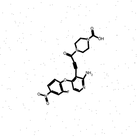 Nc1nccc(Oc2ccc([N+](=O)[O-])cc2F)c1C#CC(=O)N1CCN(C(=O)O)CC1